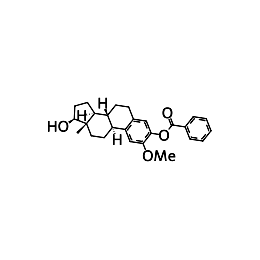 COc1cc2c(cc1OC(=O)c1ccccc1)CC[C@@H]1[C@@H]2CC[C@]2(C)[C@@H](O)CC[C@@H]12